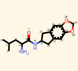 CC(C)CC(N)C(=O)NC1Cc2cc3c(cc2C1)OCO3